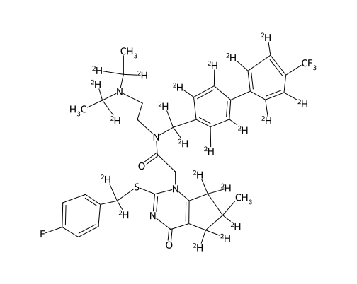 [2H]c1c([2H])c(C(F)(F)F)c([2H])c([2H])c1-c1c([2H])c([2H])c(C([2H])([2H])N(CCN(C([2H])([2H])C)C([2H])([2H])C)C(=O)Cn2c(SC([2H])([2H])c3ccc(F)cc3)nc(=O)c3c2C([2H])([2H])C([2H])(C)C3([2H])[2H])c([2H])c1[2H]